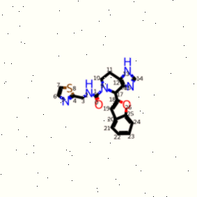 O=C(NCc1nccs1)N1CCc2[nH]cnc2C1c1cc2ccccc2o1